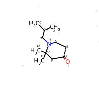 C[C](C)CN1CCC(=O)CC1(C)C